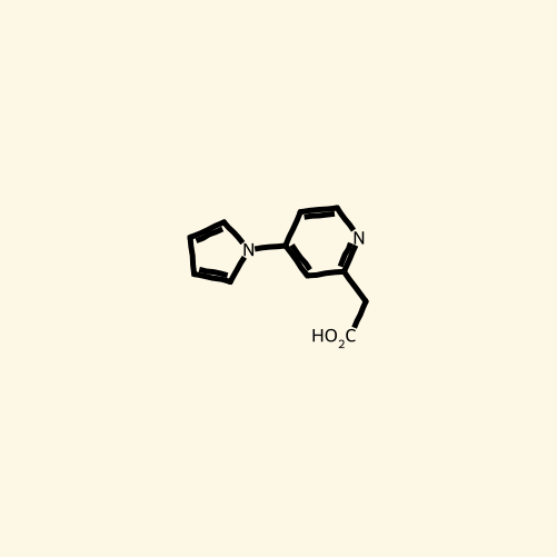 O=C(O)Cc1cc(-n2cccc2)ccn1